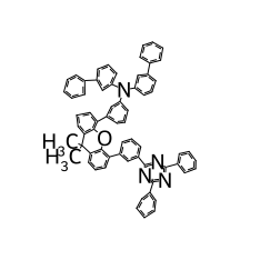 CC1(C)c2cccc(-c3cccc(-c4nc(-c5ccccc5)nc(-c5ccccc5)n4)c3)c2Oc2c(-c3cccc(N(c4cccc(-c5ccccc5)c4)c4cccc(-c5ccccc5)c4)c3)cccc21